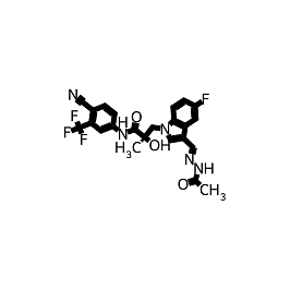 CC(=O)NN=Cc1cn(C[C@](C)(O)C(=O)Nc2ccc(C#N)c(C(F)(F)F)c2)c2ccc(F)cc12